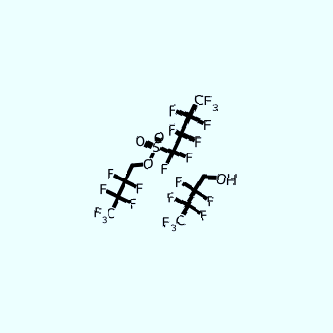 O=S(=O)(OCC(F)(F)C(F)(F)C(F)(F)F)C(F)(F)C(F)(F)C(F)(F)C(F)(F)F.OCC(F)(F)C(F)(F)C(F)(F)F